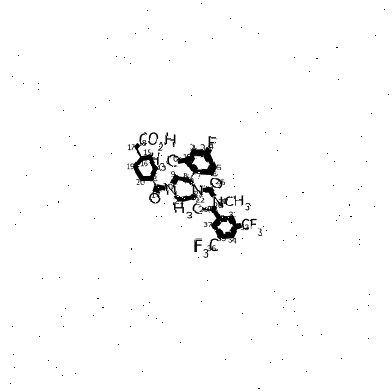 Cc1cc(F)ccc1[C@H]1CN(C(=O)[C@H]2CC[C@H](CC(=O)O)CC2)CCN1C(=O)N(C)[C@H](C)c1cc(C(F)(F)F)cc(C(F)(F)F)c1